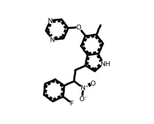 Cc1cc2[nH]cc(CC(c3ccccc3F)[N+](=O)[O-])c2cc1Oc1cncnc1